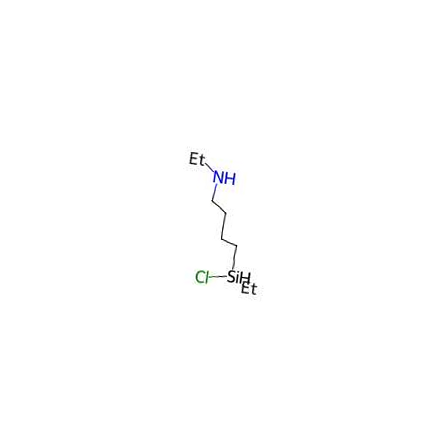 CCNCCCC[SiH](Cl)CC